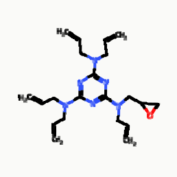 C=CCN(CC=C)c1nc(N(CC=C)CC=C)nc(N(CC=C)CC2CO2)n1